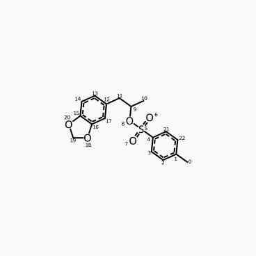 Cc1ccc(S(=O)(=O)OC(C)Cc2ccc3c(c2)OCO3)cc1